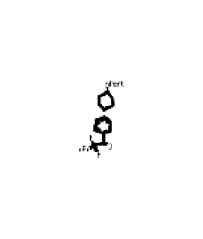 CCCCC[C@H]1CC[C@H](c2ccc(C(=O)C(F)(F)CCC)cc2)CC1